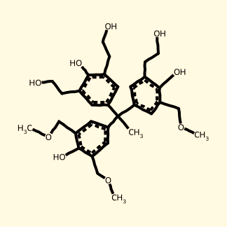 COCc1cc(C(C)(c2cc(CCO)c(O)c(CCO)c2)c2cc(COC)c(O)c(COC)c2)cc(CCO)c1O